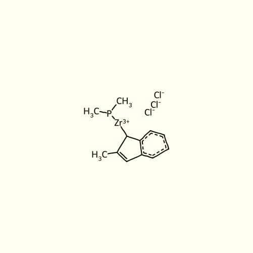 CC1=Cc2ccccc2[CH]1[Zr+3][P](C)C.[Cl-].[Cl-].[Cl-]